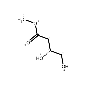 COC(=O)C[C@@H](O)CO